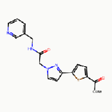 COC(=O)c1ccc(-c2ccn(CC(=O)NCc3cccnc3)n2)s1